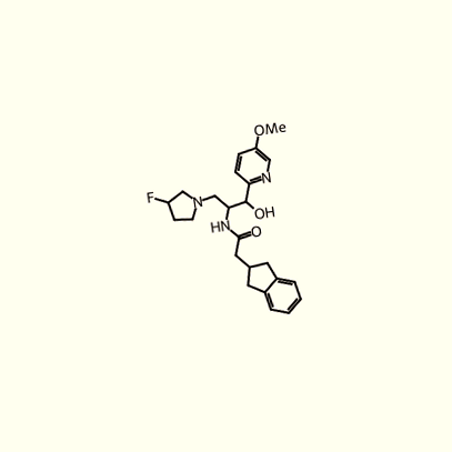 COc1ccc(C(O)C(CN2CCC(F)C2)NC(=O)CC2Cc3ccccc3C2)nc1